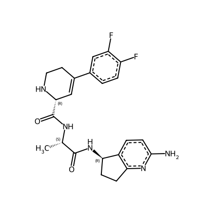 C[C@H](NC(=O)[C@H]1C=C(c2ccc(F)c(F)c2)CCN1)C(=O)N[C@@H]1CCc2nc(N)ccc21